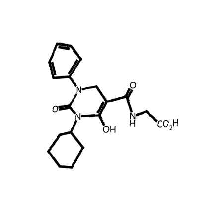 O=C(O)CNC(=O)C1=C(O)N(C2CCCCC2)C(=O)N(c2ccccc2)C1